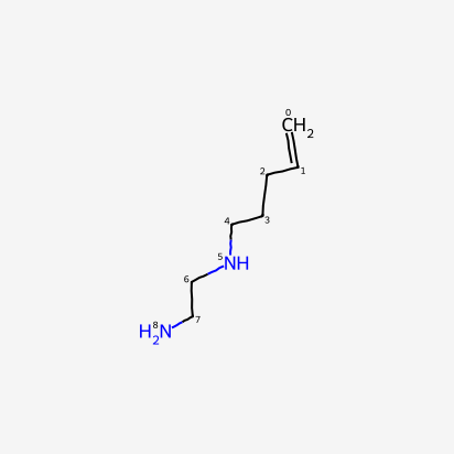 C=CCCCNCCN